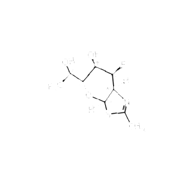 CC1=N[C@@H]2[C@H](F)[C@H](O)[C@@H]([C@H](O)C(F)(F)F)O[C@@H]2S1